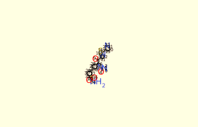 CN(C)C(=O)n1cc(C(=O)c2ccn3c2CSC3c2cccnc2)c2ccc(-c3cccc(S(N)(=O)=O)c3)cc21